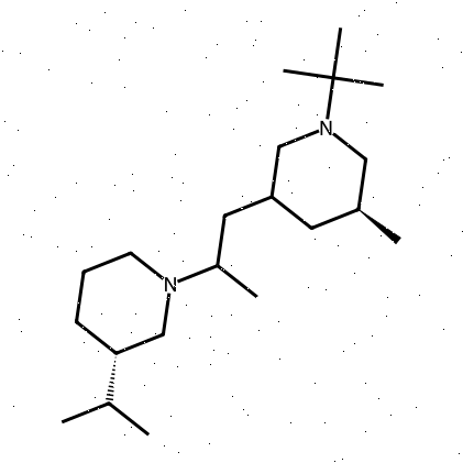 CC(C)[C@@H]1CCCN(C(C)CC2C[C@H](C)CN(C(C)(C)C)C2)C1